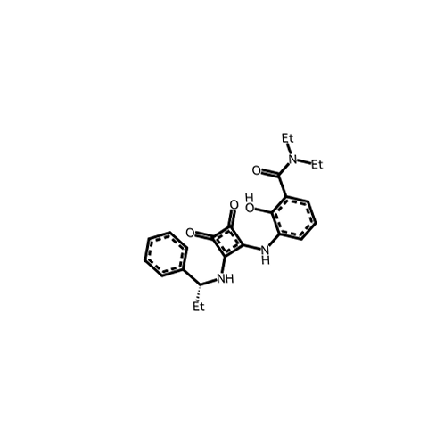 CC[C@@H](Nc1c(Nc2cccc(C(=O)N(CC)CC)c2O)c(=O)c1=O)c1ccccc1